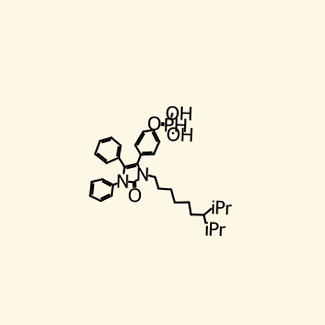 CC(C)C(CCCCCCn1c(-c2ccccc2)c(-c2ccccc2)n(-c2ccccc2)c1=O)C(C)C.O=[PH](O)O